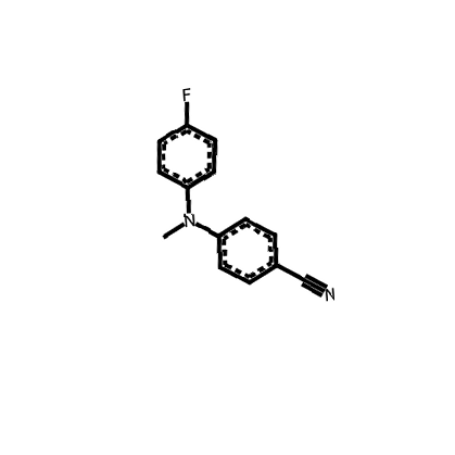 CN(c1ccc(F)cc1)c1ccc(C#N)cc1